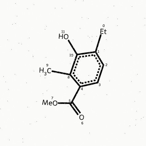 CCc1ccc(C(=O)OC)c(C)c1O